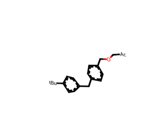 CC(=O)COCc1ccc(Cc2ccc(C(C)(C)C)cc2)cc1